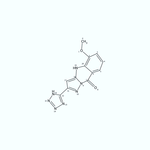 COc1cccc2c(=O)n3nc(-c4nnn[nH]4)cc3[nH]c12